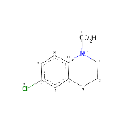 O=C(O)N1CCCc2cc(Cl)ccc21